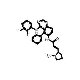 CN1CCCC1/C=C/C(=O)Nc1ccc2ncnc(Nc3cccc(Cl)c3F)c2c1-c1ccccc1